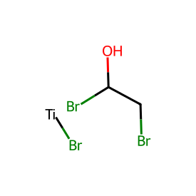 OC(Br)CBr.[Ti][Br]